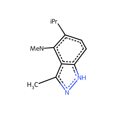 CNc1c(C(C)C)ccc2[nH]nc(C)c12